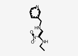 CCNC(=CNCc1cccnc1)[N+](=O)[O-]